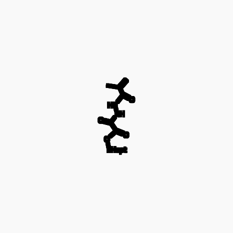 C=C(C)C(=O)NNC(=O)C(=O)OCCCCCCC